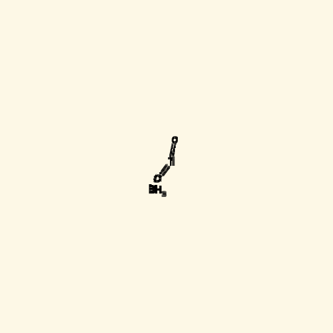 B.[O]=[Ti]=[O]